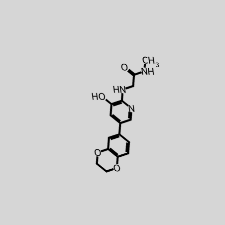 CNC(=O)CNc1ncc(-c2ccc3c(c2)OCCO3)cc1O